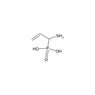 C=CC([SiH3])P(=O)(O)O